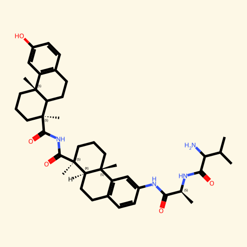 CC(C)C(N)C(=O)N[C@@H](C)C(=O)Nc1ccc2c(c1)[C@@]1(C)CCC[C@](C)(C(=O)NC(=O)[C@@]3(C)CCC[C@]4(C)c5cc(O)ccc5CCC34)[C@@H]1CC2